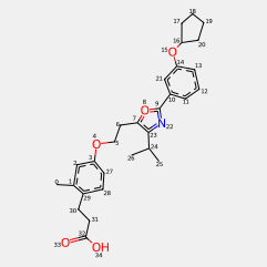 Cc1cc(OCCc2oc(-c3cccc(OC4CCCC4)c3)nc2C(C)C)ccc1CCC(=O)O